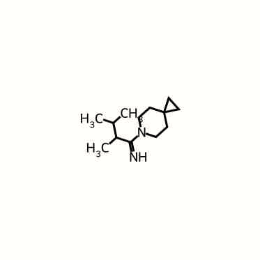 CC(C)C(C)C(=N)N1CCC2(CC1)CC2